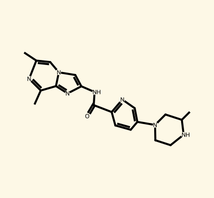 Cc1cn2cc(NC(=O)c3ccc(N4CCNC(C)C4)cn3)nc2c(C)n1